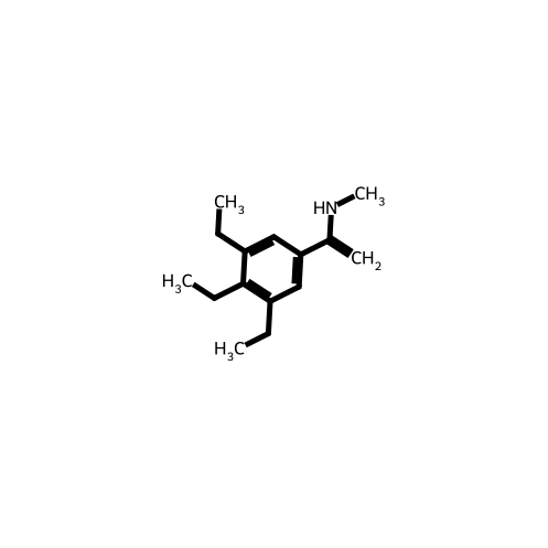 C=C(NC)c1cc(CC)c(CC)c(CC)c1